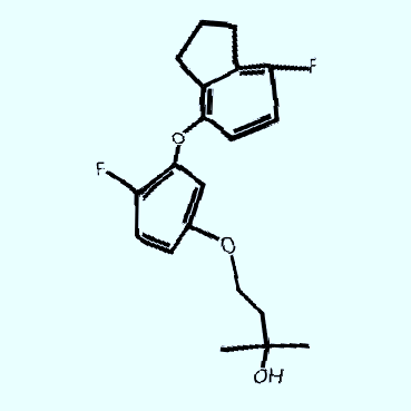 CC(C)(O)CCOc1ccc(F)c(Oc2ccc(F)c3c2CCC3)c1